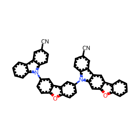 N#Cc1ccc2c(c1)c1ccccc1n2-c1ccc2oc3ccc(-n4c5ccc(C#N)cc5c5cc6c(cc54)oc4ccccc46)cc3c2c1